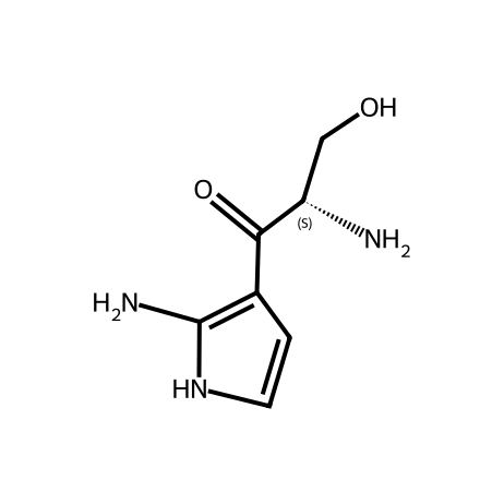 Nc1[nH]ccc1C(=O)[C@@H](N)CO